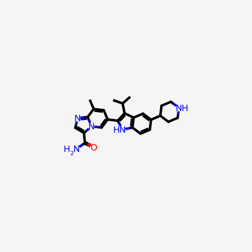 Cc1cc(-c2[nH]c3ccc(C4CCNCC4)cc3c2C(C)C)cn2c(C(N)=O)cnc12